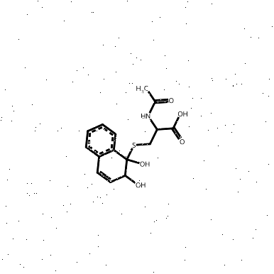 CC(=O)NC(CSC1(O)c2ccccc2C=CC1O)C(=O)O